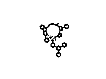 C\C1=C/C=C\C=C\C2(C)c3ccccc3-c3cc4c5ccccc5n(c4cc32)-c2nc(nc(-c3cccc(-c4cc(-c5ccccc5)cc(-c5ccccc5)c4)c3)n2)-c2cccc(c2)-c2cc1cc(-c1ccccc1)c2